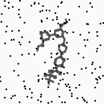 CCOc1cncc(-c2cc(CN3CCN(c4ccc(C(=O)NS(=O)(=O)C(C)(C)C)nn4)CC3)cc(OCC)c2)c1